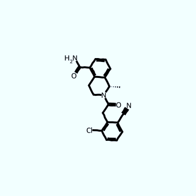 C[C@H]1c2cccc(C(N)=O)c2CCN1C(=O)Cc1c(Cl)cccc1C#N